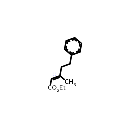 CCOC(=O)/C=C(\C)CCc1ccccc1